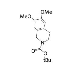 COc1cc2c(cc1OC)CN(C(=O)OC(C)(C)C)CC2